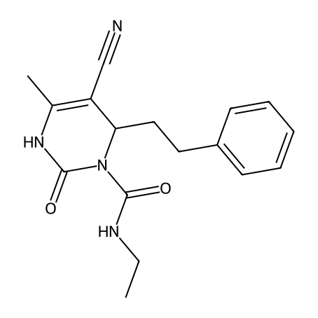 CCNC(=O)N1C(=O)NC(C)=C(C#N)C1CCc1ccccc1